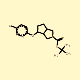 CC(C)(C)OC(=O)N1CC2CCC(Oc3ccc(Cl)nn3)C2C1